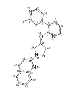 Cc1cc(-c2nccnc2O[C@H]2CCN(c3ccc4ccccc4n3)C2)ccn1